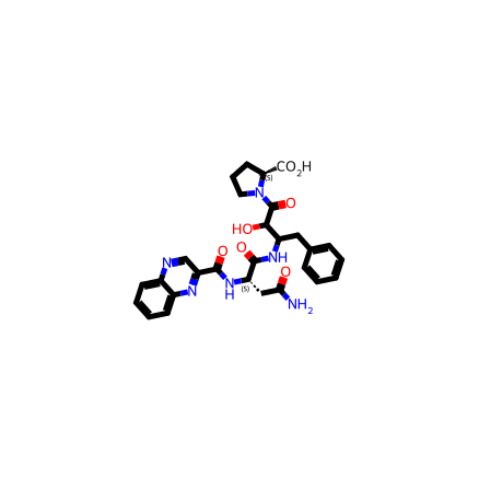 NC(=O)C[C@H](NC(=O)c1cnc2ccccc2n1)C(=O)NC(Cc1ccccc1)C(O)C(=O)N1CCC[C@H]1C(=O)O